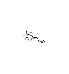 CC1(C)OC[C@H](CCBr)O1